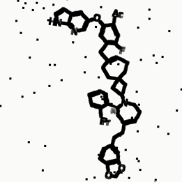 CC(=O)c1cc(F)c(CC2=CCCC3(CC2)CC(N2CCC=C(CCc4ccc5c(c4)OCO5)C[C@H]2c2ccccc2C(C)C)C3)cc1Oc1cnc2[nH]ccc2c1